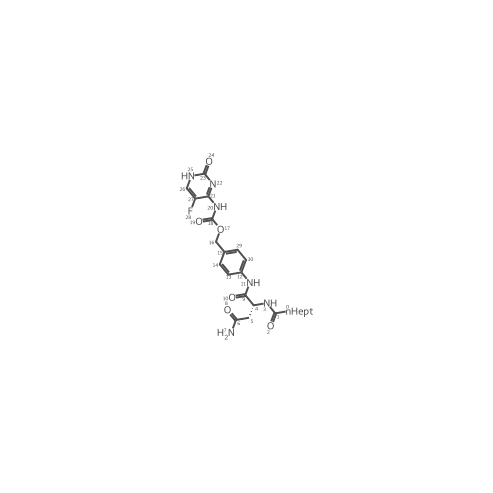 CCCCCCCC(=O)N[C@H](CC(N)=O)C(=O)Nc1ccc(COC(=O)Nc2nc(=O)[nH]cc2F)cc1